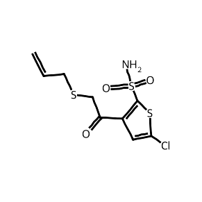 C=CCSCC(=O)c1cc(Cl)sc1S(N)(=O)=O